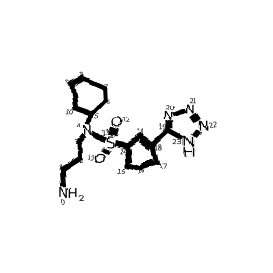 NCCCN(C1CCCCC1)S(=O)(=O)c1cccc(-c2nnn[nH]2)c1